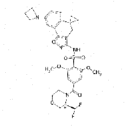 COc1cc(C(=O)N2CCOC[C@@H]2C(F)F)cc(OC)c1S(=O)(=O)Nc1noc2c1CC1(CC1)c1ccc(N3CCC3)cc1-2